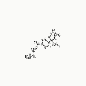 C=C[Si](C)(C=C)c1ccc(C(=O)OO[CH]C(C)(C)C)cc1